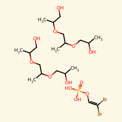 CC(O)COC(C)COC(C)CO.CC(O)COC(C)COC(C)CO.O=P(O)(O)OC=C(Br)Br